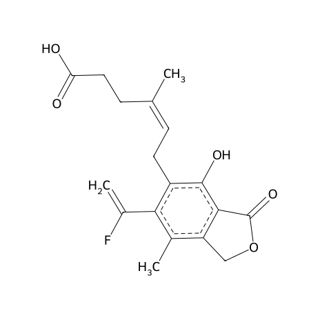 C=C(F)c1c(C)c2c(c(O)c1CC=C(C)CCC(=O)O)C(=O)OC2